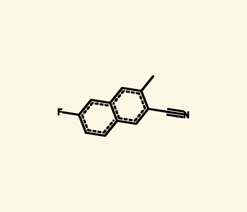 Cc1cc2cc(F)ccc2cc1C#N